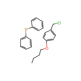 CCCCOc1ccc(CCl)cc1.c1ccc(Sc2ccccc2)cc1